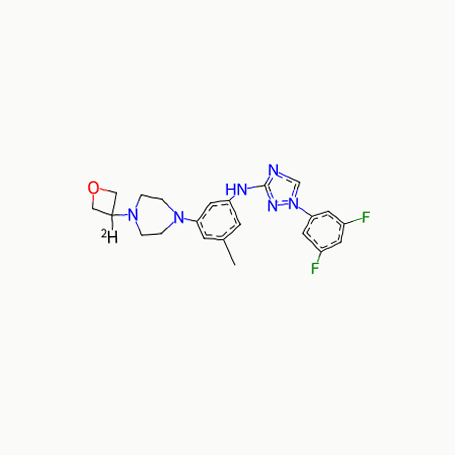 [2H]C1(N2CCN(c3cc(C)cc(Nc4ncn(-c5cc(F)cc(F)c5)n4)c3)CC2)COC1